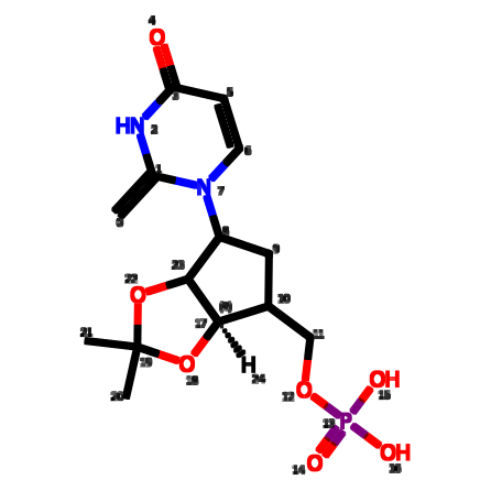 C=C1NC(=O)C=CN1C1CC(COP(=O)(O)O)[C@H]2OC(C)(C)OC12